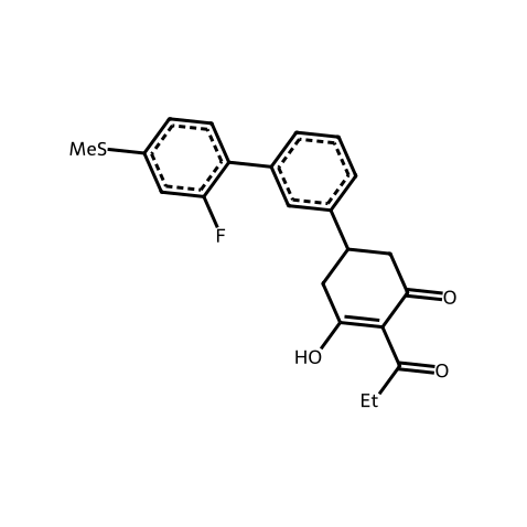 CCC(=O)C1=C(O)CC(c2cccc(-c3ccc(SC)cc3F)c2)CC1=O